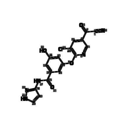 N#CC(=O)c1cnc(Oc2cc(O)cc(C(=O)Nc3cc[nH]n3)c2)c(Cl)c1